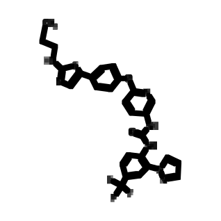 CCCNc1ncc(-c2ccc(Oc3ccc(NC(=O)Nc4ccc(C(F)(F)F)cc4-n4cccn4)cn3)cc2)s1